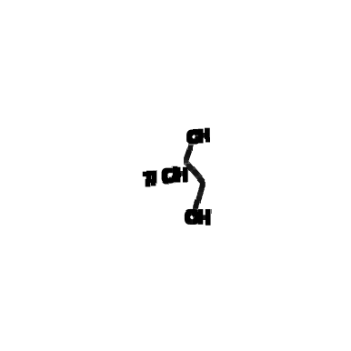 Cl.OCCO.[Ti]